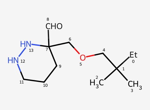 CCC(C)(C)COCC1(C=O)CCCNN1